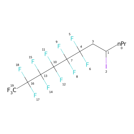 CCCC(I)CC(F)(F)C(F)(F)C(F)(F)C(F)(F)C(F)(F)C(F)(F)F